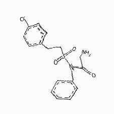 NC(=O)N(c1ccccc1)S(=O)(=O)CCc1ccc(Cl)cc1